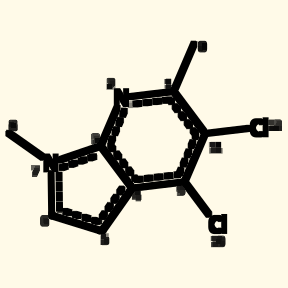 Cc1nc2c(ccn2C)c(Cl)c1Cl